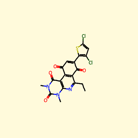 CCc1nc2c(c3c1C(=O)C(c1sc(Cl)cc1Cl)=CC3=O)c(=O)n(C)c(=O)n2C